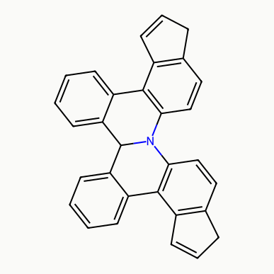 C1=Cc2c(ccc3c2-c2ccccc2C2c4ccccc4-c4c(ccc5c4C=CC5)N32)C1